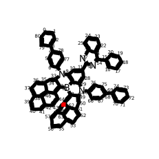 c1ccc(-c2ccc(N3c4cc(-c5nc(-c6ccccc6)c6ccccc6n5)cc5c4B(c4c3cc3ccc6cccc7ccc4c3c67)c3c(cc4ccc6cccc7ccc3c4c67)N5c3ccc(-c4ccccc4)cc3)cc2)cc1